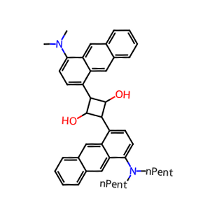 CCCCCN(CCCCC)c1ccc(C2C(O)C(c3ccc(N(C)C)c4cc5ccccc5cc34)C2O)c2cc3ccccc3cc12